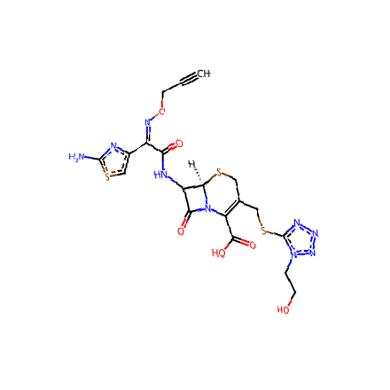 C#CCO/N=C(\C(=O)NC1C(=O)N2C(C(=O)O)=C(CSc3nnnn3CCO)CS[C@H]12)c1csc(N)n1